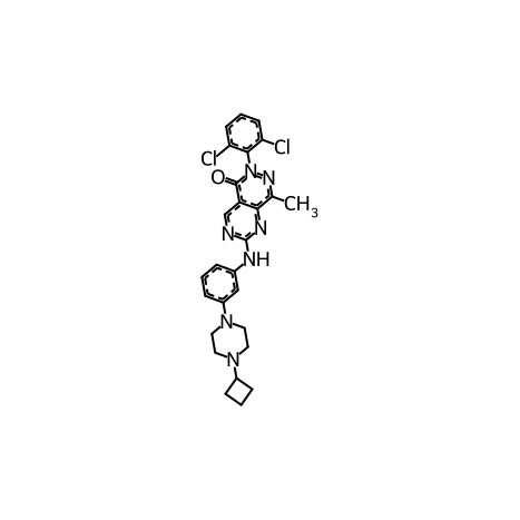 Cc1nn(-c2c(Cl)cccc2Cl)c(=O)c2cnc(Nc3cccc(N4CCN(C5CCC5)CC4)c3)nc12